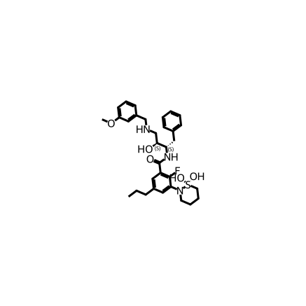 CCCc1cc(C(=O)N[C@@H](Cc2ccccc2)[C@@H](O)CNCc2cccc(OC)c2)c(F)c(N2CCCCS2(O)O)c1